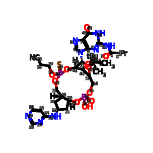 CC(C)C(=O)Nc1nc2c(ncn2[C@@H]2OC3COP(=O)(O)O[C@H]4C[C@H](Nc5ccncn5)C[C@@H]4COP(=S)(OCCC#N)O[C@@H]2C3O[Si](C)(C)C(C)(C)C)c(=O)[nH]1